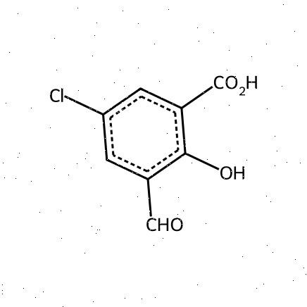 O=Cc1cc(Cl)cc(C(=O)O)c1O